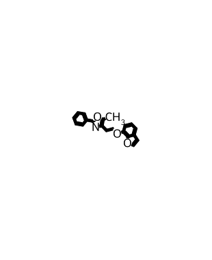 Cc1oc(-c2ccccc2)nc1CCOc1cccc2ccoc12